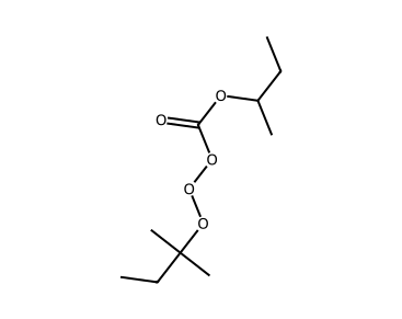 CCC(C)OC(=O)OOOC(C)(C)CC